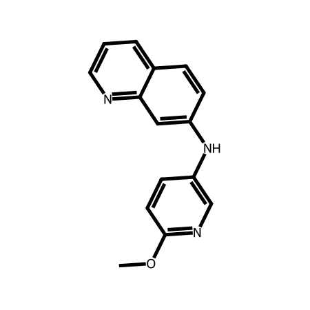 COc1ccc(Nc2ccc3cccnc3c2)cn1